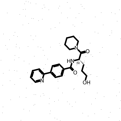 O=C(N[C@@H](CCCO)C(=O)N1CCCCC1)c1ccc(-c2ccccn2)cc1